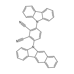 N#Cc1c(-n2c3ccccc3c3ccccc32)ccc(-n2c3ccccc3c3cc4ccccc4cc32)c1C#N